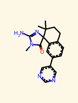 CN1C(=O)C2(N=C1N)c1cc(-c3cncnc3)ccc1CCC2(C)C